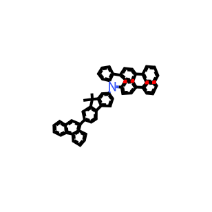 CC1(C)c2cc(-c3cc4ccccc4c4ccccc34)ccc2-c2ccc(N(c3ccc(-c4ccccc4)cc3)c3ccccc3-c3ccc(-c4ccccc4)cc3)cc21